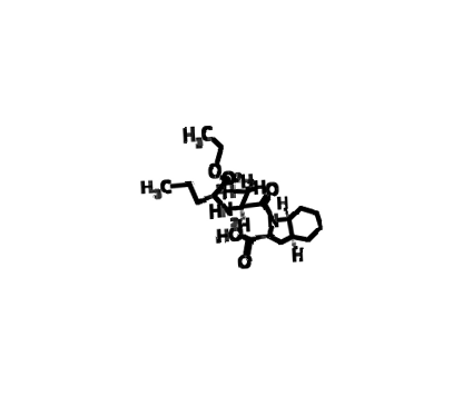 [2H]C([2H])([2H])[C@]([2H])(N[C@@H](CCC)C(=O)OCC)C(=O)N1[C@H](C(=O)O)C[C@@H]2CCCC[C@@H]21